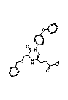 O=C(CCC(=O)C1CC1)NC(COCc1ccccc1)C(=O)Nc1ccc(Oc2ccccc2)cc1